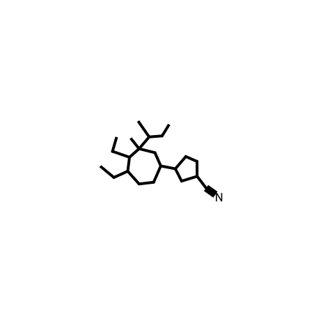 CCC1CCC(C2CCC(C#N)C2)CC(C)(C(C)CC)C1CC